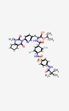 CC(C)OC(=O)[C@H](Cc1ccc(-n2c(=O)c3c(n(C)c2=O)CCCC3)nc1)NC(=O)c1cc(F)c(NS(=O)(=O)c2ccc(NC(=O)C(C)(C)C)cc2)cc1F